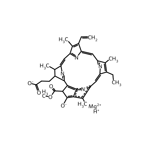 C=CC1=C(C)C2=NC1=CC1=NC(=Cc3[n-]c4c(c3C)=C([O-])C(C(=O)OC)C=4C3=NC(=C2)C(C)C3CCC(=O)[O-])C(CC)=C1C.[H+].[Mg+2]